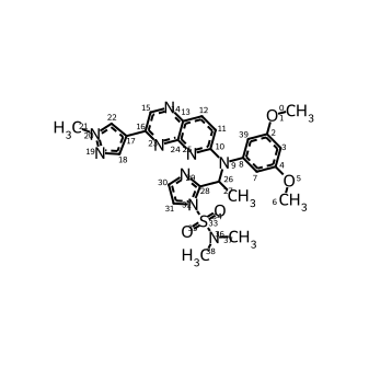 COc1cc(OC)cc(N(c2ccc3ncc(-c4cnn(C)c4)nc3n2)C(C)c2nccn2S(=O)(=O)N(C)C)c1